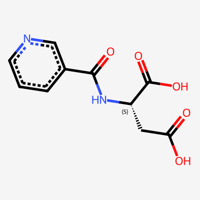 O=C(O)C[C@H](NC(=O)c1cccnc1)C(=O)O